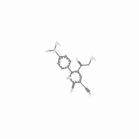 CCC(=O)c1cc(C#N)c(=O)[nH]c1-c1ccc([S+](C)[O-])cc1